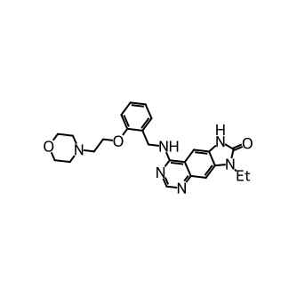 CCn1c(=O)[nH]c2cc3c(NCc4ccccc4OCCN4CCOCC4)ncnc3cc21